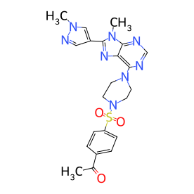 CC(=O)c1ccc(S(=O)(=O)N2CCN(c3ncnc4c3nc(-c3cnn(C)c3)n4C)CC2)cc1